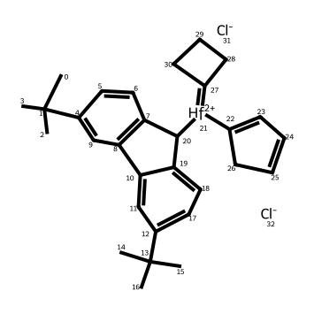 CC(C)(C)c1ccc2c(c1)-c1cc(C(C)(C)C)ccc1[CH]2[Hf+2]([C]1=CC=CC1)=[C]1CCC1.[Cl-].[Cl-]